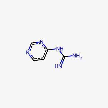 N=C(N)Nc1ccncn1